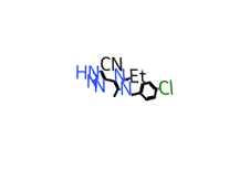 CCc1nc(-c2nn[nH]c2C#N)c(C)n1Cc1ccc(Cl)cc1